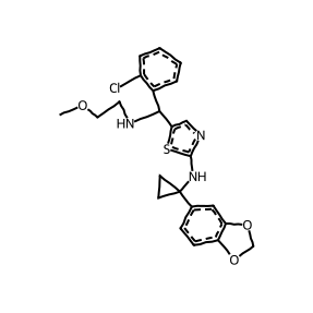 COCCNC(c1cnc(NC2(c3ccc4c(c3)OCO4)CC2)s1)c1ccccc1Cl